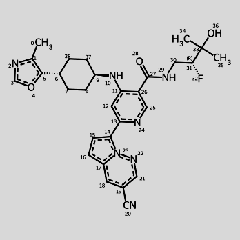 Cc1ncoc1[C@H]1CC[C@H](Nc2cc(-c3ccc4cc(C#N)cnn34)ncc2C(=O)NC[C@@H](F)C(C)(C)O)CC1